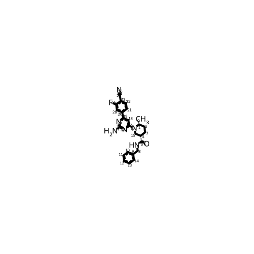 C[C@@H]1CC[C@H](C(=O)NCc2ccccc2)CN1c1cc(-c2ccc(C#N)c(F)c2)nc(N)n1